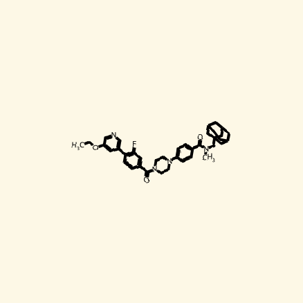 CCOc1cncc(-c2ccc(C(=O)N3CCN(c4ccc(C(=O)N(C)CC56CC7CC(CC(C7)C5)C6)cc4)CC3)cc2F)c1